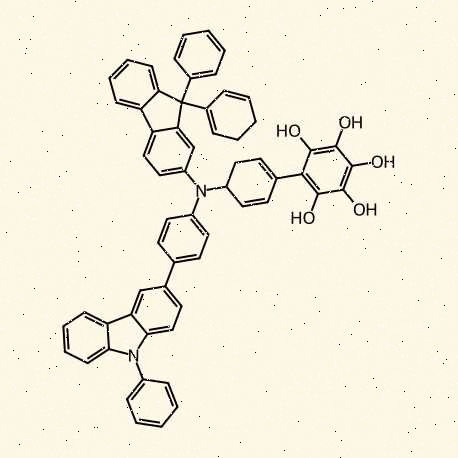 Oc1c(O)c(O)c(C2=CCC(N(c3ccc(-c4ccc5c(c4)c4ccccc4n5-c4ccccc4)cc3)c3ccc4c(c3)C(C3=CCCC=C3)(c3ccccc3)c3ccccc3-4)C=C2)c(O)c1O